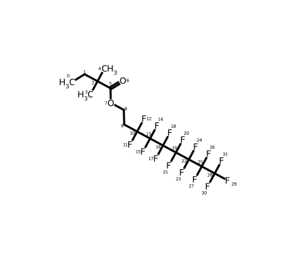 CCC(C)(C)C(=O)OCCC(F)(F)C(F)(F)C(F)(F)C(F)(F)C(F)(F)C(F)(F)C(F)(F)F